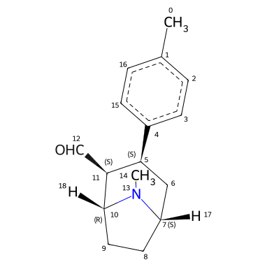 Cc1ccc([C@H]2C[C@@H]3CC[C@H]([C@H]2C=O)N3C)cc1